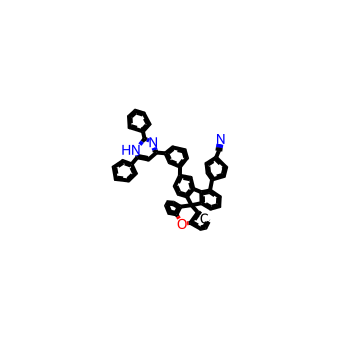 N#Cc1ccc(-c2cccc3c2-c2cc(-c4cccc(C5=NC(c6ccccc6)NC(c6ccccc6)=C5)c4)ccc2C32c3ccccc3Oc3ccccc32)cc1